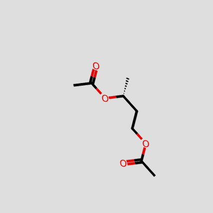 CC(=O)OCC[C@@H](C)OC(C)=O